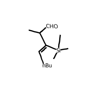 CCCC/C=C(/C(C)C=O)[Si](C)(C)C